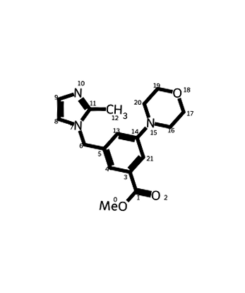 COC(=O)c1cc(Cn2ccnc2C)cc(N2CCOCC2)c1